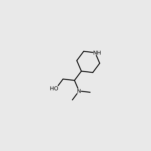 CN(C)C(CO)C1CCNCC1